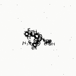 COc1cc(S(=O)(=O)N2C[C@H](CCNC(=O)C(=O)O)Oc3ccc(/C=C(\C)c4c(F)cccc4Cl)cc32)ccc1F